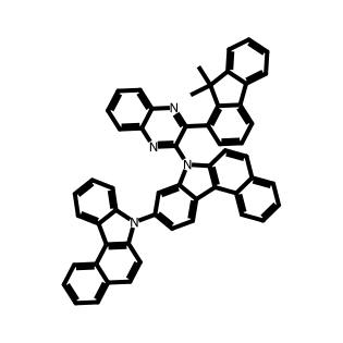 CC1(C)c2ccccc2-c2cccc(-c3nc4ccccc4nc3-n3c4cc(-n5c6ccccc6c6c7ccccc7ccc65)ccc4c4c5ccccc5ccc43)c21